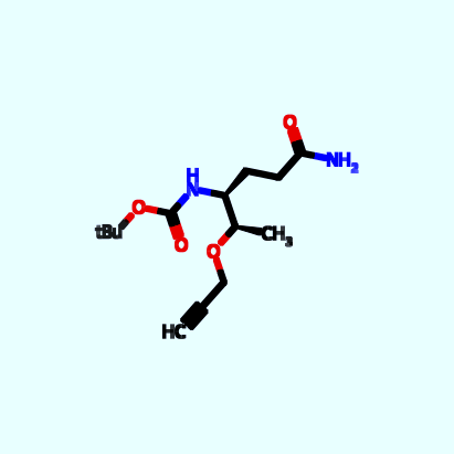 C#CCO[C@H](C)[C@H](CCC(N)=O)NC(=O)OC(C)(C)C